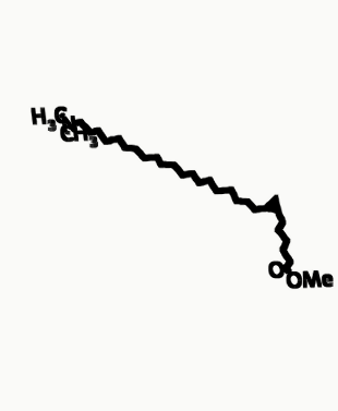 COC(=O)CCCCCC1CC1CCCCCCCCCCCCCCCCCCCCN(C)C